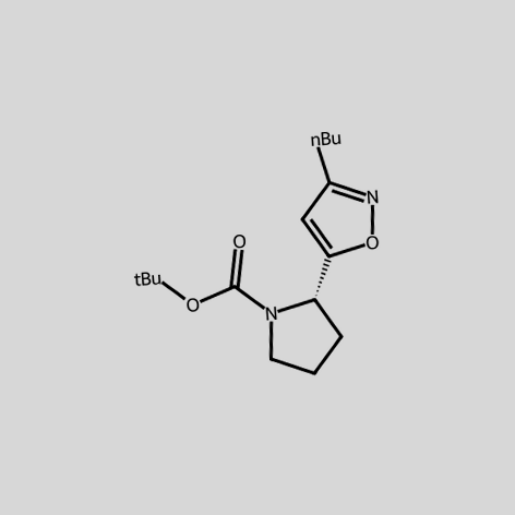 CCCCc1cc([C@@H]2CCCN2C(=O)OC(C)(C)C)on1